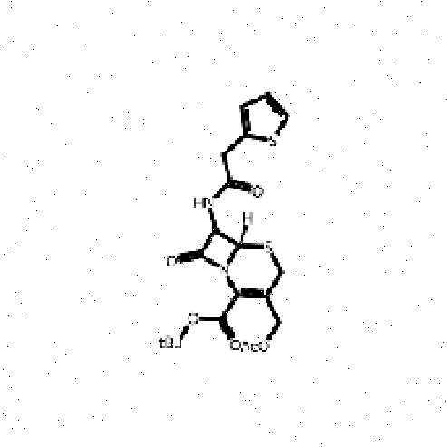 CC(=O)OCC1=C(C(=O)OC(C)(C)C)N2C(=O)C(NC(=O)Cc3cccs3)[C@@H]2SC1